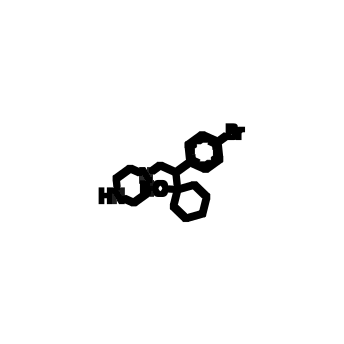 OC1(C(CN2CCNCC2)c2ccc(Br)cc2)CCCCC1